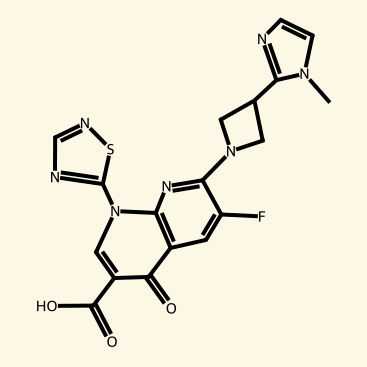 Cn1ccnc1C1CN(c2nc3c(cc2F)c(=O)c(C(=O)O)cn3-c2ncns2)C1